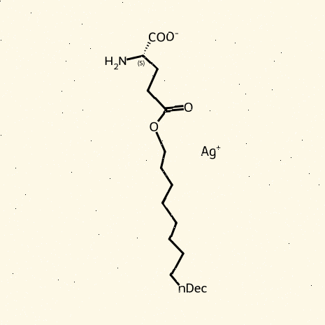 CCCCCCCCCCCCCCCCCCOC(=O)CC[C@H](N)C(=O)[O-].[Ag+]